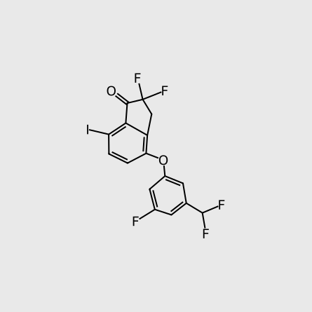 O=C1c2c(I)ccc(Oc3cc(F)cc(C(F)F)c3)c2CC1(F)F